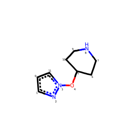 c1cnn(OC2CCNCC2)c1